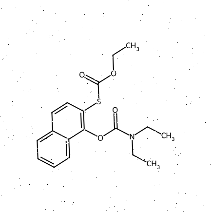 CCOC(=O)Sc1ccc2ccccc2c1OC(=O)N(CC)CC